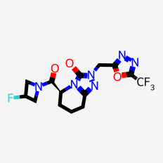 O=C([C@@H]1CCCc2nn(Cc3nnc(C(F)(F)F)o3)c(=O)n21)N1CC(F)C1